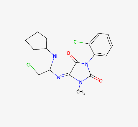 CN1C(=O)N(c2ccccc2Cl)C(=O)C1=NC(CCl)NC1CCCC1